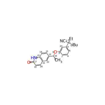 CCC(C)C(C#N)(CC)c1cccc(OC(C)c2ccc3[nH]c(=O)ccc3c2)c1